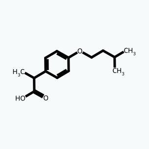 CC(C)CCOc1ccc(C(C)C(=O)O)cc1